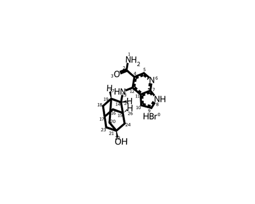 Br.NC(=O)c1cnc2[nH]ccc2c1N[C@@H]1[C@@H]2CC3C[C@H]1C[C@@](O)(C3)C2